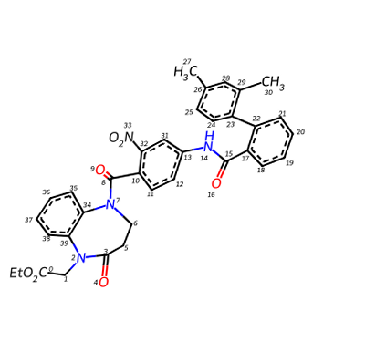 CCOC(=O)CN1C(=O)CCN(C(=O)c2ccc(NC(=O)c3ccccc3-c3ccc(C)cc3C)cc2[N+](=O)[O-])c2ccccc21